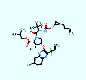 C=CCC[C@@H]1C[C@H]1OC(=O)N[C@H](C(=O)N1C[C@H](Oc2nc3cc(Cl)ccc3nc2C(F)(F)C=C)[C@@H](C)[C@H]1C(=O)OCC(C)C)C(C)(C)C